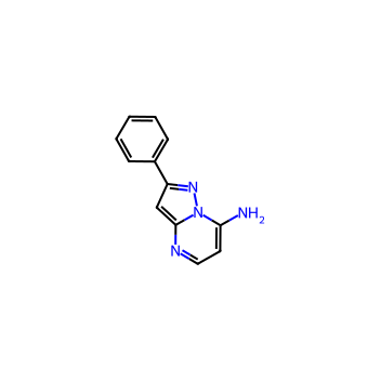 Nc1ccnc2cc(-c3ccccc3)nn12